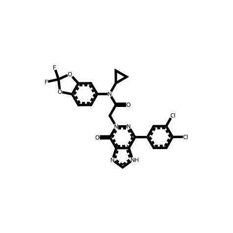 O=C(Cn1nc(-c2ccc(Cl)c(Cl)c2)c2[nH]cnc2c1=O)N(c1ccc2c(c1)OC(F)(F)O2)C1CC1